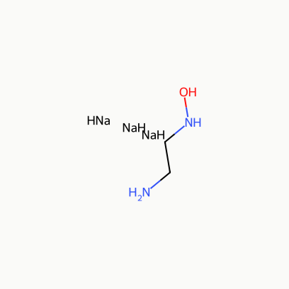 NCCNO.[NaH].[NaH].[NaH]